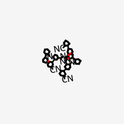 N#Cc1cccc(-c2ccc(-n3c4ccccc4c4ccccc43)c(-c3nc(-c4cccc(-c5ccccc5C#N)c4)nc(-c4ccc(-n5c6ccccc6c6ccccc65)c(-c5cccc(C#N)c5)c4)n3)c2)c1